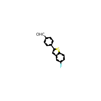 O=Cc1ccc(-c2cc3cc(F)ccc3s2)cc1